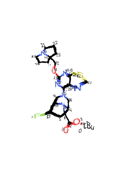 CC(C)(C)OC(=O)C12CC(F)C3CN(c4nc(OCC56CCCN5CCC6)nc5scnc45)CC1N32